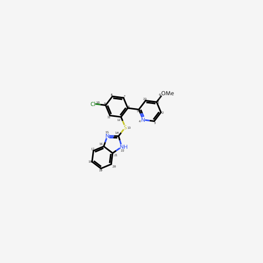 COc1ccnc(-c2ccc(Cl)cc2Sc2nc3ccccc3[nH]2)c1